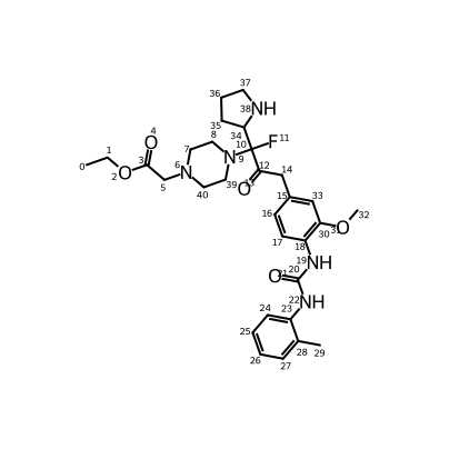 CCOC(=O)CN1CCN(C(F)(C(=O)Cc2ccc(NC(=O)Nc3ccccc3C)c(OC)c2)C2CCCN2)CC1